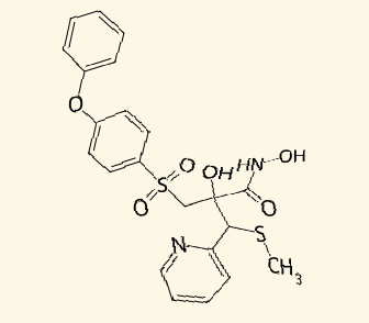 CSC(c1ccccn1)C(O)(CS(=O)(=O)c1ccc(Oc2ccccc2)cc1)C(=O)NO